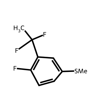 CSc1ccc(F)c(C(C)(F)F)c1